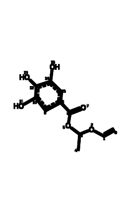 C=COC(C)OC(=O)c1cc(O)c(O)c(O)c1